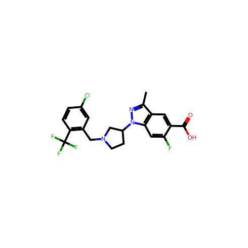 Cc1nn(C2CCN(Cc3cc(Cl)ccc3C(F)(F)F)C2)c2cc(F)c(C(=O)O)cc12